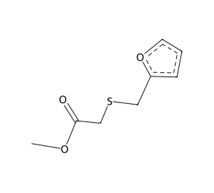 COC(=O)CSCc1ccco1